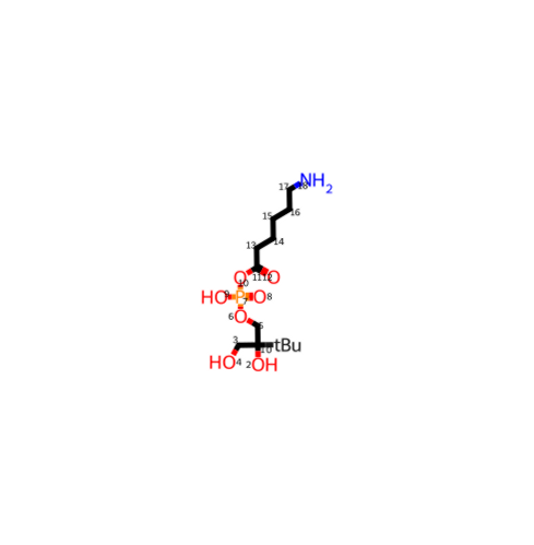 CC(C)(C)C(O)(CO)COP(=O)(O)OC(=O)CCCCCN